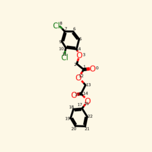 O=C(COc1ccc(Cl)cc1Cl)OCC(=O)Oc1ccccc1